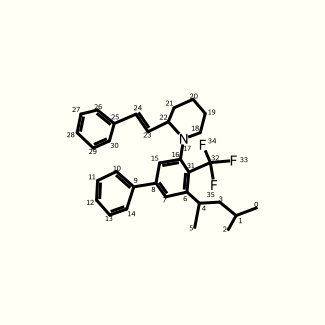 CC(C)CC(C)c1cc(-c2ccccc2)cc(N2CCCCC2C=Cc2ccccc2)c1C(F)(F)F